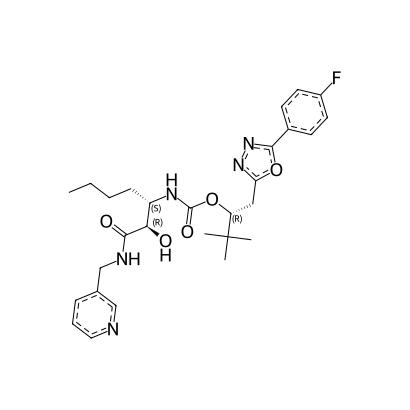 CCCC[C@H](NC(=O)O[C@H](Cc1nnc(-c2ccc(F)cc2)o1)C(C)(C)C)[C@@H](O)C(=O)NCc1cccnc1